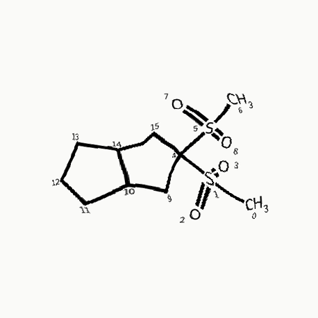 CS(=O)(=O)C1(S(C)(=O)=O)CC2CCCC2C1